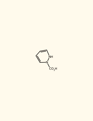 O=C(O)N1C=CC=CN1